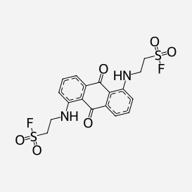 O=C1c2cccc(NCCS(=O)(=O)F)c2C(=O)c2cccc(NCCS(=O)(=O)F)c21